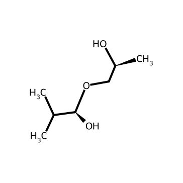 CC(C)[C@H](O)OC[C@H](C)O